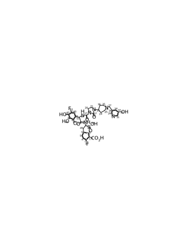 O=C(O)c1c(F)ccc2c1OB(O)C(NC(=O)C(NC(=O)N1CCN(C3CCN(Cc4cncc(O)c4)CC3)C1=O)c1cc(F)c(O)c(O)c1Cl)C2